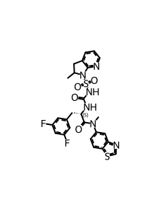 CC1Cc2cccnc2N1S(=O)(=O)NC(=O)N[C@@H](Cc1cc(F)cc(F)c1)C(=O)N(C)c1ccc2scnc2c1